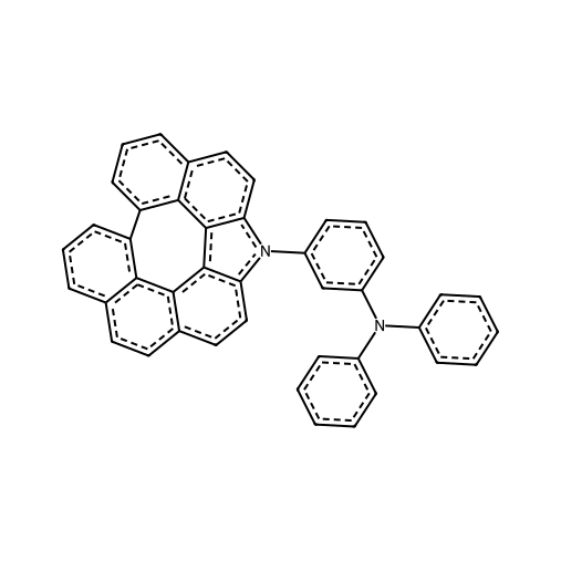 c1ccc(N(c2ccccc2)c2cccc(-n3c4ccc5cccc6c5c4c4c5c(ccc7cccc-6c75)ccc43)c2)cc1